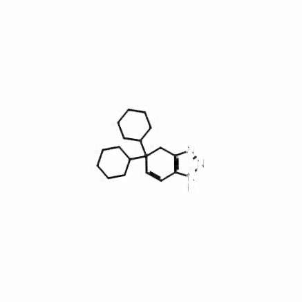 C1=CC(C2CCCCC2)(C2CCCCC2)Cc2nn[nH]c21